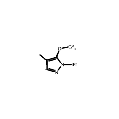 Cc1[c]nn(C(C)C)c1OC(F)(F)F